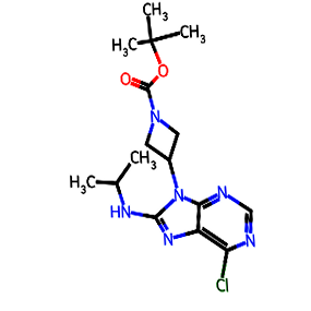 CC(C)Nc1nc2c(Cl)ncnc2n1C1CN(C(=O)OC(C)(C)C)C1